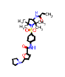 C=CC(=O)NC1CC(C)(C)N(S(=O)(=O)c2ccc(NC(=O)c3ccc(CN4CCCC4)o3)cc2)C1(C)C